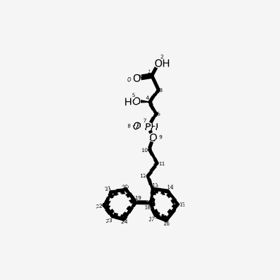 O=C(O)C[C@H](O)C[PH](=O)OCCCc1ccccc1-c1ccccc1